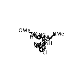 CNCCCCC[C@H](NC(=O)/C=C/c1c(N(N)/C=N\N)ccc(Cl)c1F)c1nc(-c2ccc(NC(=O)OCCOC)cc2)c(C#N)[nH]1